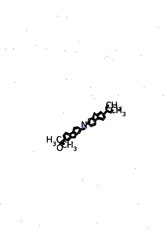 CCC(CC)c1ccc2c(c1)Cc1cc(/N=C/c3ccc4c(c3)Cc3cc(C(C)(C)C=O)ccc3-4)ccc1-2